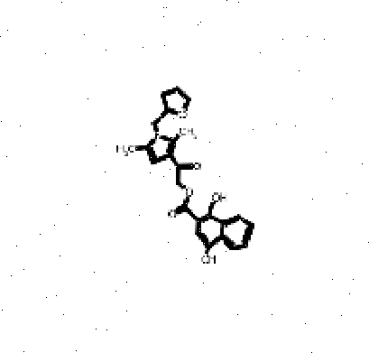 Cc1cc(C(=O)COC(=O)c2cc(O)c3ccccc3c2O)c(C)n1CC1CCCO1